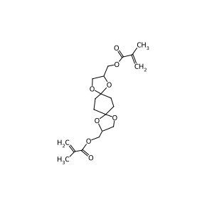 C=C(C)C(=O)OCC1COC2(CCC3(CC2)OCC(COC(=O)C(=C)C)O3)O1